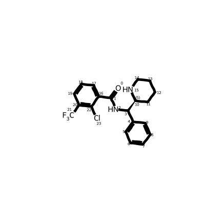 O=C(NC(c1ccccc1)[C@@H]1CCCCN1)c1cccc(C(F)(F)F)c1Cl